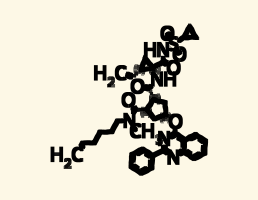 C=CCCCCN(C)C(=O)[C@@H]1C[C@H](Oc2nc(-c3ccccc3)nc3ccccc23)C[C@H]1C(=O)N[C@]1(C(=O)NS(=O)(=O)C2CC2)C[C@H]1C=C